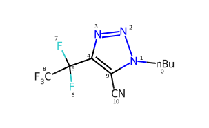 CCCCn1nnc(C(F)(F)C(F)(F)F)c1C#N